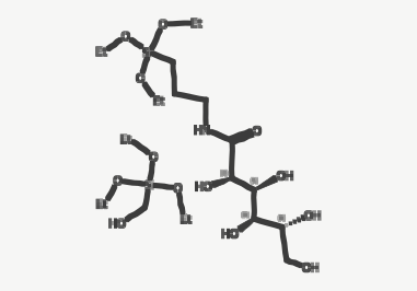 CCO[Si](CCCNC(=O)[C@H](O)[C@@H](O)[C@H](O)[C@H](O)CO)(OCC)OCC.CCO[Si](CO)(OCC)OCC